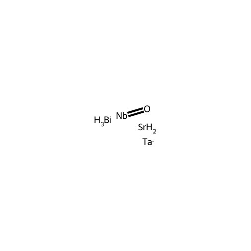 [BiH3].[O]=[Nb].[SrH2].[Ta]